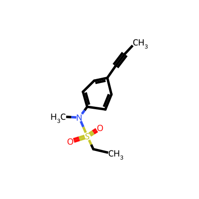 CC#Cc1ccc(N(C)S(=O)(=O)CC)cc1